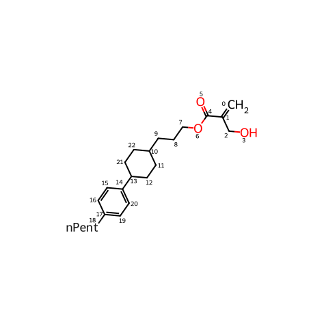 C=C(CO)C(=O)OCCCC1CCC(c2ccc(CCCCC)cc2)CC1